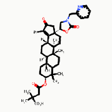 CC(C)C1=C2[C@H]3CC[C@@H]4[C@@]5(C)CC[C@H](OC(=O)CC(C)(C)C(=O)O)C(C)(C)C5CC[C@@]4(C)[C@]3(C)CCC2([C@@H]2CN(Cc3ccccn3)C(=O)O2)CC1=O